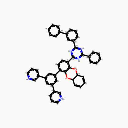 C1=CC2Oc3c(-c4cc(-c5cccnc5)cc(-c5cccnc5)c4)ccc(-c4nc(-c5ccccc5)nc(-c5cccc(-c6ccccc6)c5)n4)c3OC2C=C1